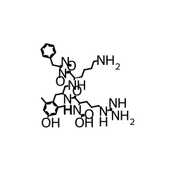 Cc1cc(O)cc(C)c1CC(NC(=O)C(CCCNC(=N)N)NC(=O)O)C(=O)N[C@H](CCCCN)c1nc(Cc2ccccc2)no1